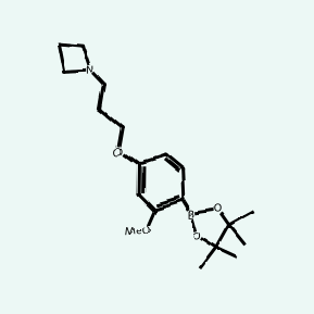 COc1cc(OCCCN2CCC2)ccc1B1OC(C)(C)C(C)(C)O1